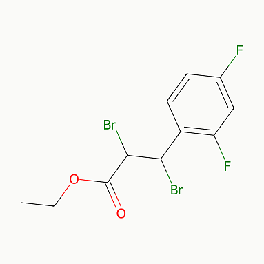 CCOC(=O)C(Br)C(Br)c1ccc(F)cc1F